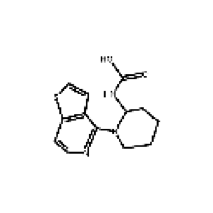 O=C(O)NC1CCCCN1c1nccc2sccc12